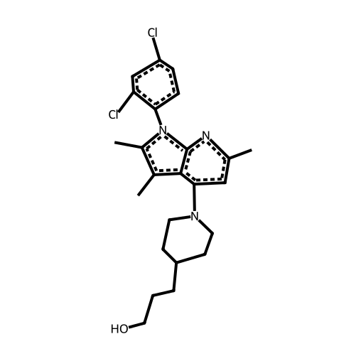 Cc1cc(N2CCC(CCCO)CC2)c2c(C)c(C)n(-c3ccc(Cl)cc3Cl)c2n1